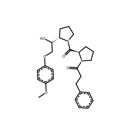 COc1ccc(OCC(O)[C@@H]2CCCN2C(=O)[C@H]2CCCN2C(=O)CCc2ccccc2)cc1